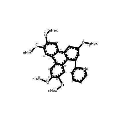 CCCCCCOc1cc(-c2ccccn2)c2c(c1)c1cc(OCCCCCC)c(OCCCCCC)cc1c1cc(OCCCCCC)c(OCCCCCC)cc12